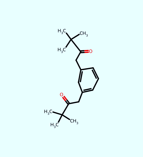 CC(C)(C)C(=O)Cc1cccc(CC(=O)C(C)(C)C)c1